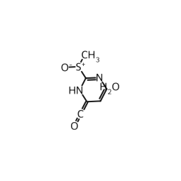 C[S+]([O-])C1=NC=CC(=C=O)N1.O